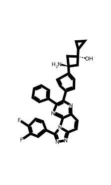 N[C@]1(c2ccc(-c3nc4ccc5nnc(-c6ccc(F)c(F)c6)n5c4nc3-c3ccccc3)cc2)C[C@](O)(C2CC2)C1